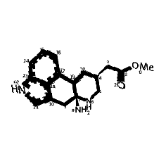 COC(=O)C[C@H]1CN[C@]2(N)Cc3c[nH]c4cccc(c34)C2C1